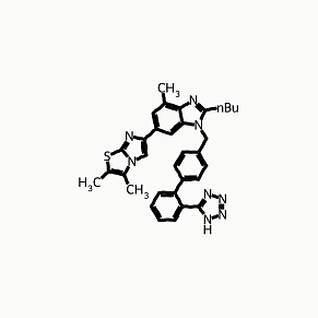 CCCCc1nc2c(C)cc(-c3cn4c(C)c(C)sc4n3)cc2n1Cc1ccc(-c2ccccc2-c2nnn[nH]2)cc1